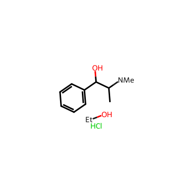 CCO.CNC(C)C(O)c1ccccc1.Cl